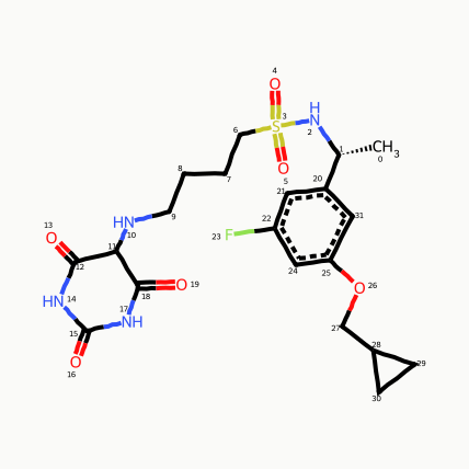 C[C@@H](NS(=O)(=O)CCCCNC1C(=O)NC(=O)NC1=O)c1cc(F)cc(OCC2CC2)c1